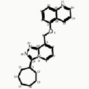 c1cc(OCc2cccn3c(C4CCCCCC4)nnc23)c2cccnc2c1